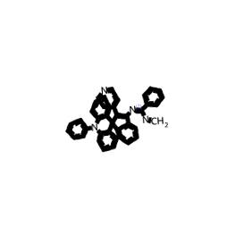 C=N/C(=N\C1=C(c2ccncc2)C2(c3ccccc31)c1ccccc1N(c1ccccc1)c1ccccc12)c1ccccc1